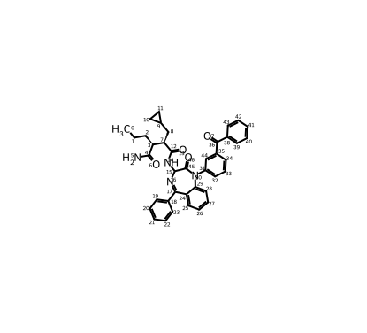 CCC[C@H](C(N)=O)[C@@H](CC1CC1)C(=O)NC1N=C(c2ccccc2)c2ccccc2N(c2cccc(C(=O)c3ccccc3)c2)C1=O